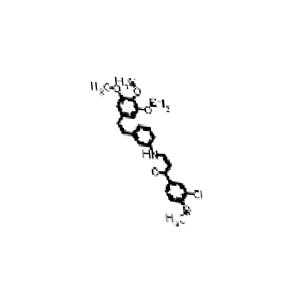 COc1ccc(C(=O)/C=C\Nc2cccc(/C=C\c3cc(OC)c(OC)c(OC)c3)c2)cc1Cl